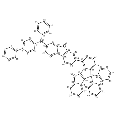 c1ccc(-c2ccc(N(c3ccccc3)c3ccc4c(c3)oc3cc(-c5cccc6c5-c5sc7ccccc7c5C6(c5ccccc5)c5ccccc5)ccc34)cc2)cc1